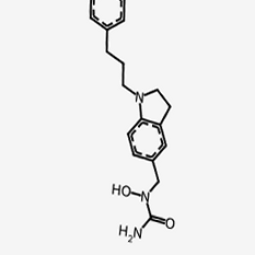 NC(=O)N(O)Cc1ccc2c(c1)CCN2CCCc1ccccc1